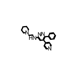 c1ccc(-c2nnc(NCCN3CCCCC3)cc2-c2ccncc2)cc1